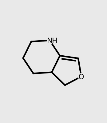 C1=C2NCCCC2CO1